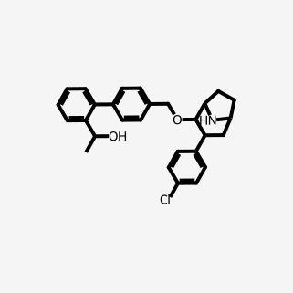 CC(O)c1ccccc1-c1ccc(COC2C3CCC(CC2c2ccc(Cl)cc2)N3)cc1